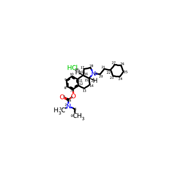 CCN(C)C(=O)Oc1cccc2c1CC[C@@H]1[C@H]2CCN1CCC1CCCCC1.Cl